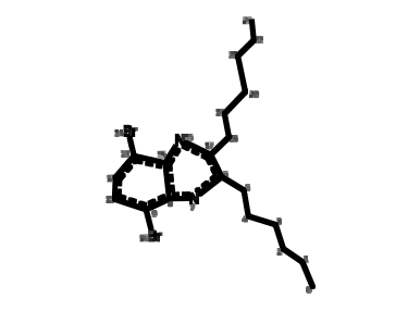 CCCCCCc1nc2c(Br)ccc(Br)c2nc1CCCCCC